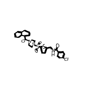 O=C(NCc1ccc(S(=O)(=O)N2CCN(C(=O)c3cccc4ccccc34)CC2)s1)c1ccc(Cl)cc1